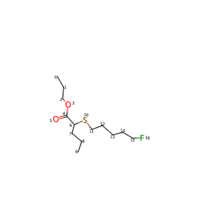 CCCOC(=O)C(CCC)SCCCCCF